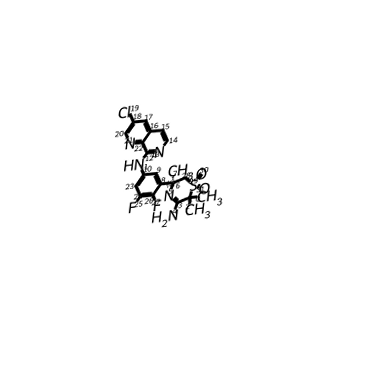 CC1(C)C(N)=N[C@@](C)(c2cc(Nc3nccc4cc(Cl)cnc34)cc(F)c2F)CS1(=O)=O